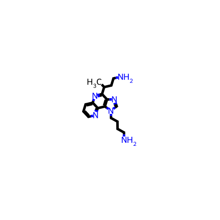 CC(CCN)c1nc2cccnc2c2c1ncn2CCCCN